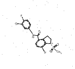 CS(=O)(=O)[C@H]1CCc2c(C(=O)Nc3ccc(F)c(Cl)c3)ccc(F)c21